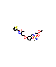 CCOC(=O)CN(Cc1cccc(OCCc2nc(-c3cccs3)oc2C)c1)S(=O)(=O)N(C)C